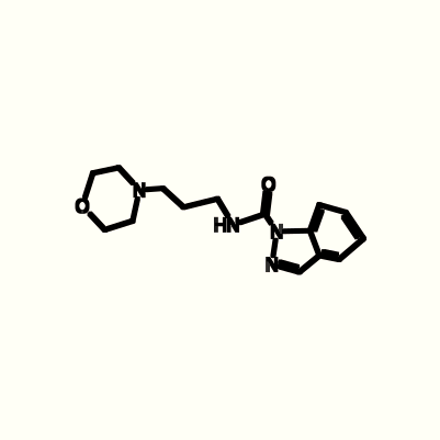 O=C(NCCCN1CCOCC1)n1ncc2ccccc21